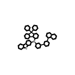 c1ccc(C2(c3ccccc3)c3ccccc3-c3c(N(c4cccc(-c5cccc(-c6cccc7ccccc67)c5)c4)c4ccc5c(c4)sc4ccccc45)cccc32)cc1